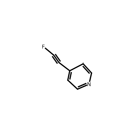 FC#Cc1[c]cncc1